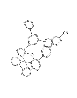 N#Cc1ccc(-c2ccc(-c3cccc4c3Oc3c(-c5cc(-c6ccccc6)cc(-c6ccccc6)c5)cccc3C43c4ccccc4-c4ccccc43)cc2)cc1